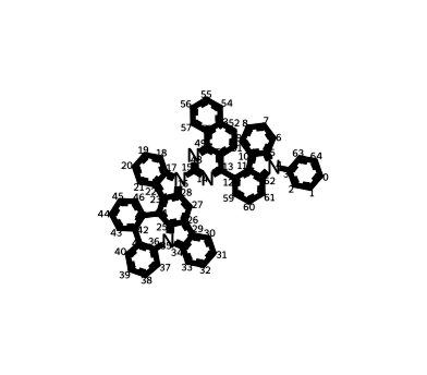 c1ccc(-n2c3ccccc3c3c(-c4nc(-n5c6ccccc6c6c7c8c(cc65)c5ccccc5n8-c5ccccc5-c5ccccc5-7)nc5c4ccc4ccccc45)cccc32)cc1